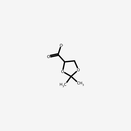 CC1(C)OCC(C([O])=O)O1